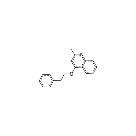 Cc1cc(OCCc2ccccc2)c2ccccc2n1